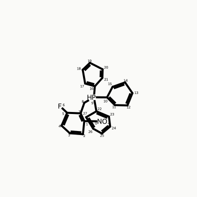 O=[N+]([O-])c1cccc(F)c1C[PH](c1ccccc1)(c1ccccc1)c1ccccc1